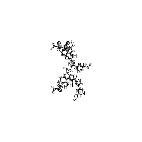 CCOc1cncc(-c2cnc(C(=O)NC(CCN(C)Cc3nc(C(=O)NC(CN4CCOCC4(C)C)c4cc(NS(=O)(=O)C5CC5)ccn4)sc3-c3cncc(OCC)n3)c3c(F)ccc(NS(=O)(=O)C4CC4)c3F)s2)n1